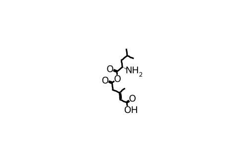 C/C(=C\C(=O)O)CC(=O)OC(=O)[C@@H](N)CC(C)C